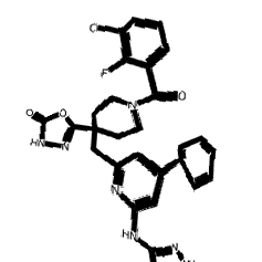 O=C(c1cccc(Cl)c1F)N1CCC(Cc2cc(-c3ccccc3)cc(Nc3cc[nH]n3)n2)(c2n[nH]c(=O)o2)CC1